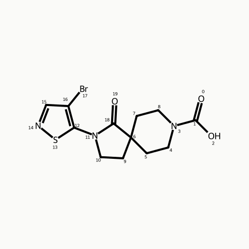 O=C(O)N1CCC2(CC1)CCN(c1sncc1Br)C2=O